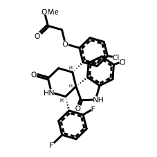 COC(=O)COc1ccc(Cl)cc1[C@H]1CC(=O)N[C@@H](c2cc(F)ccc2F)[C@]12C(=O)Nc1cc(Cl)ccc12